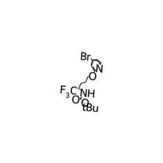 CC(C)(C)OC(=O)N[C@@H](CCCOc1cc(Br)ccn1)C(F)(F)F